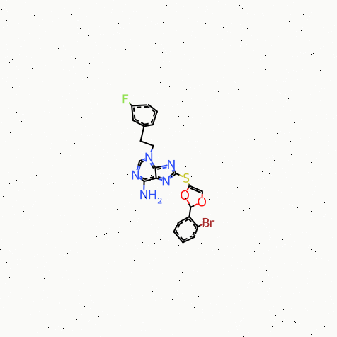 Nc1ncn(CCc2cccc(F)c2)c2nc(SC3=COC(c4ccccc4Br)O3)nc1-2